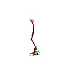 ClCCCCCCCCCCCCCCCCCCCCCCCCCCCCCCCCCCCCC[SiH](Cl)Cl